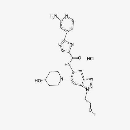 COCCn1ncc2cc(NC(=O)c3coc(-c4ccnc(N)c4)n3)c(N3CCC(O)CC3)cc21.Cl